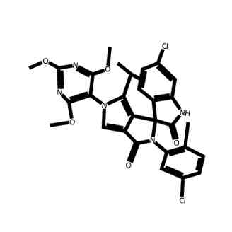 COc1nc(OC)c(-n2cc3c(c2C(C)C)C2(C(=O)Nc4cc(Cl)ccc42)N(c2cc(Cl)ccc2C)C3=O)c(OC)n1